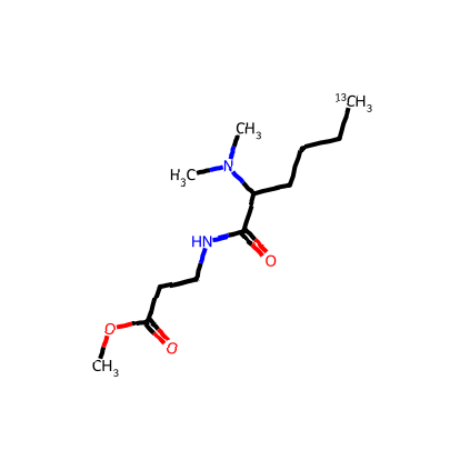 COC(=O)CCNC(=O)C(CCC[13CH3])N(C)C